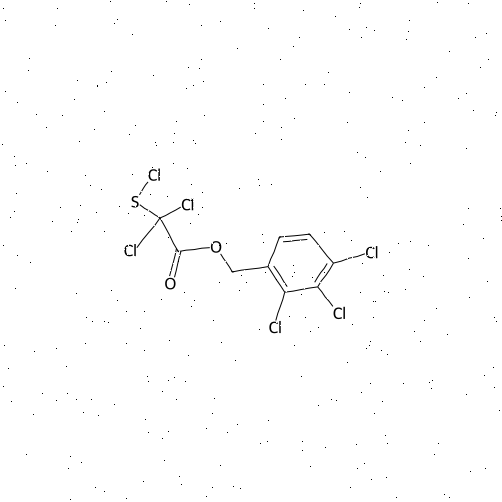 O=C(OCc1ccc(Cl)c(Cl)c1Cl)C(Cl)(Cl)SCl